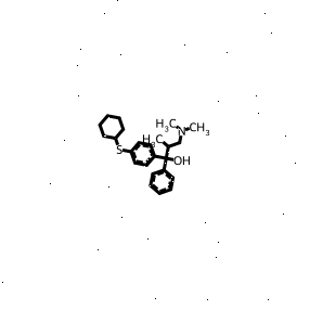 CC(CN(C)C)C(O)(c1ccccc1)c1ccc(SC2CCCCC2)cc1